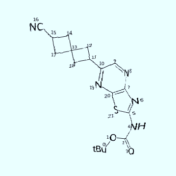 CC(C)(C)OC(=O)Nc1nc2ncc(C3CC4(CC(C#N)C4)C3)nc2s1